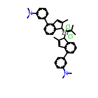 CC1=Cc2c(-c3cccc(N(C)C)c3)cccc2[CH]1[Zr]([Cl])([Cl])(=[C](C)C)[CH]1C(C)=Cc2c(-c3cccc(N(C)C)c3)cccc21